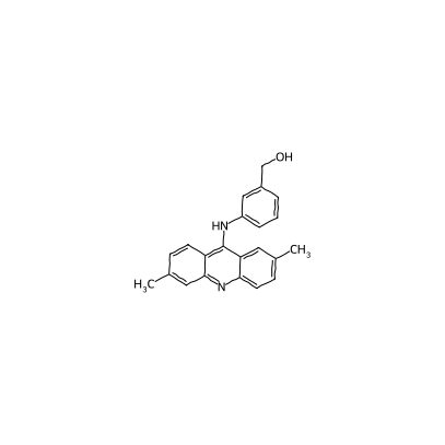 Cc1ccc2c(Nc3cccc(CO)c3)c3cc(C)ccc3nc2c1